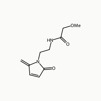 C=C1C=CC(=O)N1CCNC(=O)COC